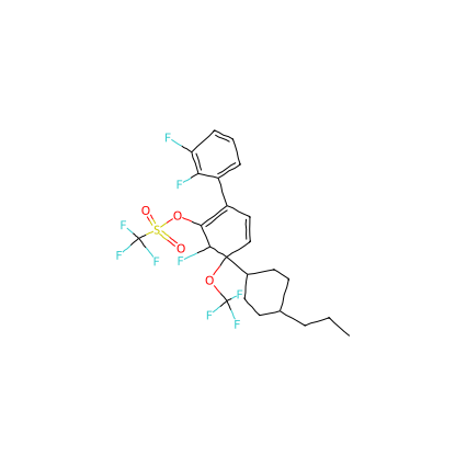 CCCC1CCC(C2(OC(F)(F)F)C=CC(c3cccc(F)c3F)=C(OS(=O)(=O)C(F)(F)F)C2F)CC1